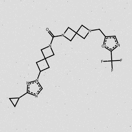 O=C(N1CC2(CC(n3cnc(C4CC4)n3)C2)C1)N1CC2(CN(Cc3cnc(C(F)(F)F)o3)C2)C1